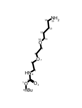 CCCCOC(=O)NCCOCCOCCCCN